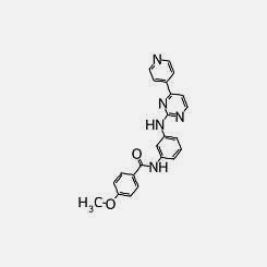 COc1ccc(C(=O)Nc2cccc(Nc3nccc(-c4ccncc4)n3)c2)cc1